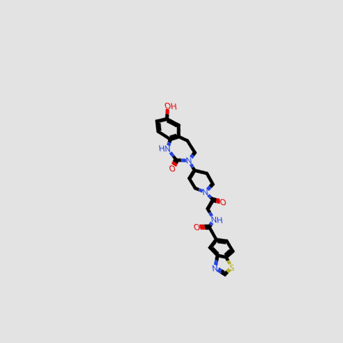 O=C(NCC(=O)N1CCC(N2CCc3cc(O)ccc3NC2=O)CC1)c1ccc2scnc2c1